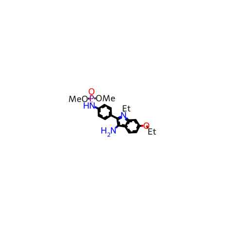 CCOc1ccc2c(N)c(-c3ccc(NP(=O)(OC)OC)cc3)n(CC)c2c1